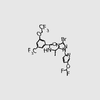 CC(NC(=O)c1cc(OCC(F)(F)F)cc(C(F)(F)F)c1)c1nc(Br)nn1-c1ccc(OC(F)F)cn1